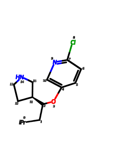 CC(C)CC(Oc1ccc(Cl)nc1)[C@H]1CCNC1